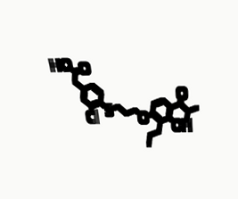 CCCc1c(OCCCSc2ccc(CC(=O)O)cc2Cl)ccc(C(=O)C(C)C)c1O